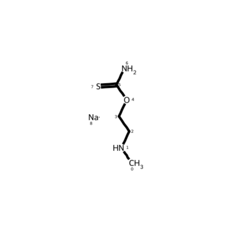 CNCCOC(N)=S.[Na]